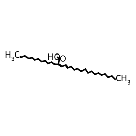 CCCCCCCCCCCCCCCC=CC=C(CCCCCCCCCCCC)C(=O)O